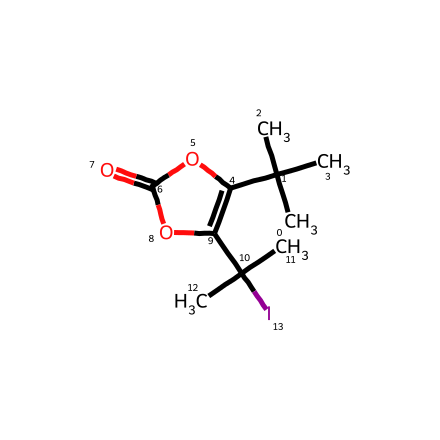 CC(C)(C)c1oc(=O)oc1C(C)(C)I